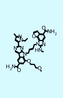 CCn1nc(C)cc1-c1ncc2c3cc(C(N)=O)cc(OCCCOC)c3n(C/C=C/Cn3c(NC)nc4cc(C(N)=O)c5ccoc5c43)c2n1